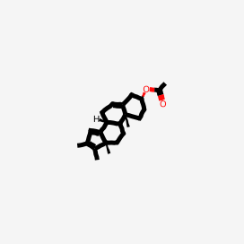 CC(=O)O[C@H]1CC[C@@]2(C)C(=CC[C@H]3C4=CC(C)=C(C)[C@@]4(C)CCC32)C1